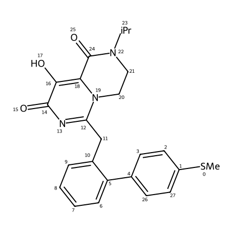 CSc1ccc(-c2ccccc2Cc2nc(=O)c(O)c3n2CCN(C(C)C)C3=O)cc1